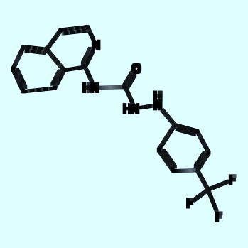 O=C(NNc1ccc(C(F)(F)F)cc1)Nc1nccc2ccccc12